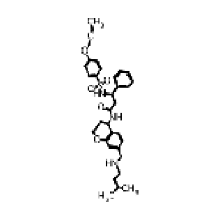 CCCCOc1ccc(S(=O)(=O)NC(CC(=O)NC2CCOc3cc(CNCCC(C)C)ccc32)c2ccccc2)cc1